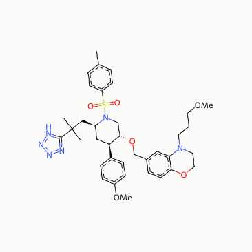 COCCCN1CCOc2ccc(CO[C@H]3CN(S(=O)(=O)c4ccc(C)cc4)[C@H](CC(C)(C)c4nnn[nH]4)C[C@@H]3c3ccc(OC)cc3)cc21